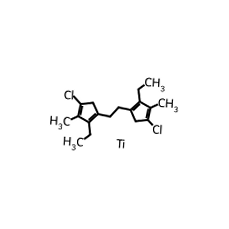 CCC1=C(CCC2=C(CC)C(C)=C(Cl)C2)CC(Cl)=C1C.[Ti]